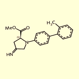 COC(=O)[C@@H]1CC(=N)CN1c1ccc(-c2ccccc2C)cc1